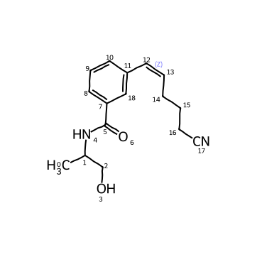 CC(CO)NC(=O)c1cccc(/C=C\CCCC#N)c1